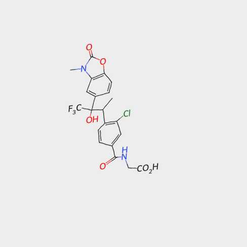 CC(c1ccc(C(=O)NCC(=O)O)cc1Cl)C(O)(c1ccc2oc(=O)n(C)c2c1)C(F)(F)F